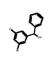 OC(c1ccccc1)c1cc(F)cc(Br)c1